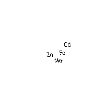 [Cd].[Fe].[Mn].[Zn]